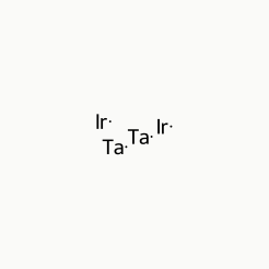 [Ir].[Ir].[Ta].[Ta]